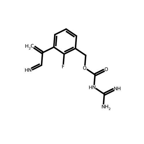 C=C(C=N)c1cccc(COC(=O)NC(=N)N)c1F